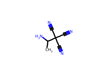 CC(N)C(C#N)(C#N)C#N